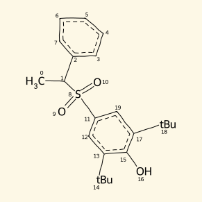 CC(c1ccccc1)S(=O)(=O)c1cc(C(C)(C)C)c(O)c(C(C)(C)C)c1